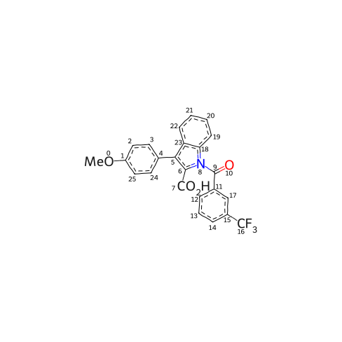 COc1ccc(-c2c(C(=O)O)n(C(=O)c3cccc(C(F)(F)F)c3)c3ccccc23)cc1